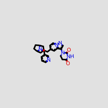 O=C1CCN(c2cnn3ccc(CC4CC5CCC(C4)N5Cc4cccnc4)cc23)C(=O)N1